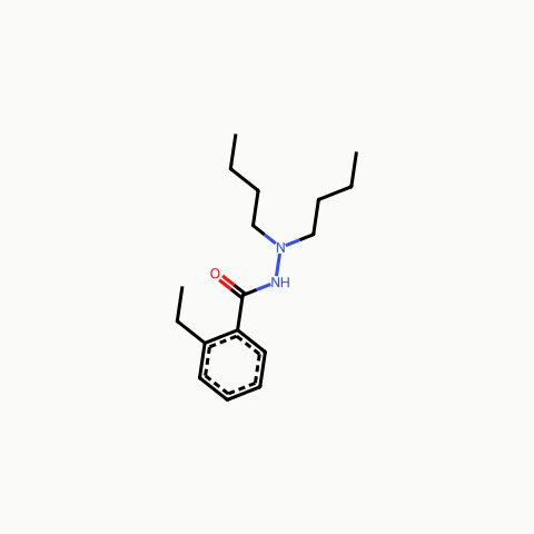 CCCCN(CCCC)NC(=O)c1ccccc1CC